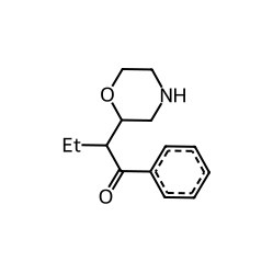 CCC(C(=O)c1ccccc1)C1CNCCO1